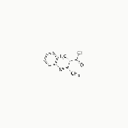 C/C(=N/c1ccccc1)C(C)C(=O)O